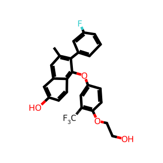 Cc1cc2cc(O)ccc2c(Oc2ccc(OCCO)c(C(F)(F)F)c2)c1-c1cccc(F)c1